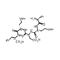 CSCC[C@H](NC(=O)[C@H](CC(=O)O)NC(=O)[C@H](CCSC)NC(=O)[C@@H](N)C(C)C)C(=O)N[C@@H](CC(C)C)C(=O)O